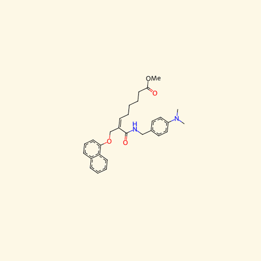 COC(=O)CCCCC=C(COc1cccc2ccccc12)C(=O)NCc1ccc(N(C)C)cc1